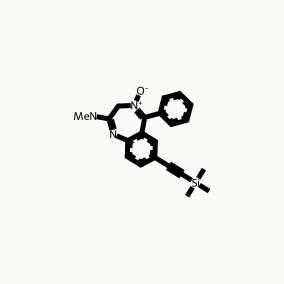 CNC1=Nc2ccc(C#C[Si](C)(C)C)cc2C(c2ccccc2)=[N+]([O-])C1